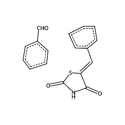 O=C1NC(=O)C(=Cc2ccccc2)S1.O=Cc1ccccc1